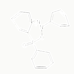 NN(OP(=O)(c1ccccc1)c1ccccc1)c1ccccc1